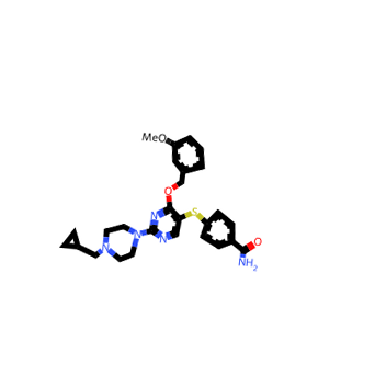 COc1cccc(COc2nc(N3CCN(CC4CC4)CC3)ncc2Sc2ccc(C(N)=O)cc2)c1